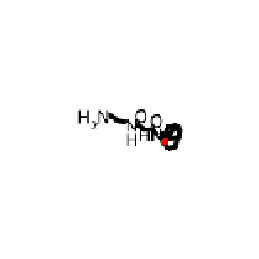 NCCCNC(=O)CC(=O)NC12CC3CC(CC(C3)C1)C2